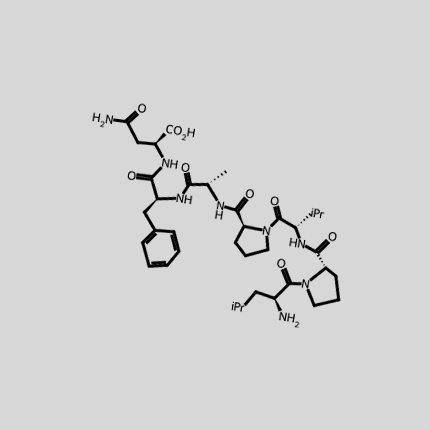 CC(C)C[C@H](N)C(=O)N1CCC[C@H]1C(=O)N[C@H](C(=O)N1CCC[C@H]1C(=O)N[C@@H](C)C(=O)N[C@@H](Cc1ccccc1)C(=O)N[C@@H](CC(N)=O)C(=O)O)C(C)C